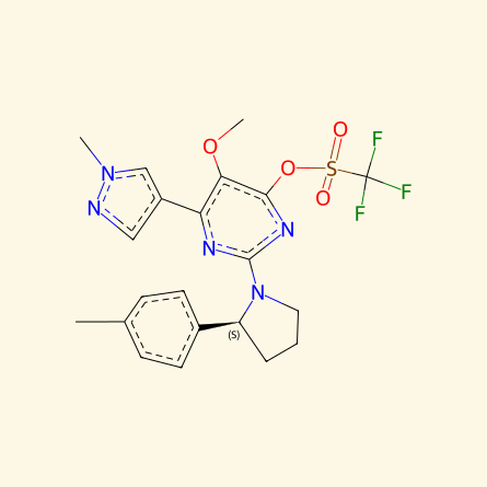 COc1c(OS(=O)(=O)C(F)(F)F)nc(N2CCC[C@H]2c2ccc(C)cc2)nc1-c1cnn(C)c1